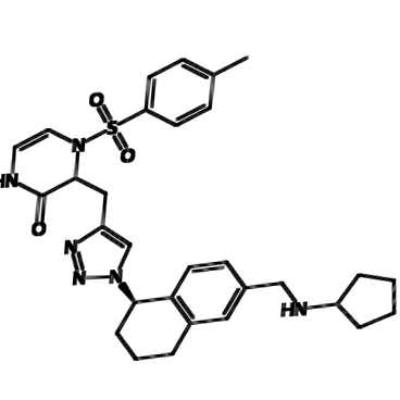 Cc1ccc(S(=O)(=O)N2C=CNC(=O)C2Cc2cn([C@@H]3CCCc4cc(CNC5CCCC5)ccc43)nn2)cc1